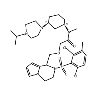 Cc1ccc(Cl)c(S(=O)(=O)N2CCn3cccc3C2COCC(=O)N(C)[C@@H]2CCC[C@H](N3CCN(C(C)C)CC3)C2)c1Cl